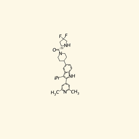 Cc1cc(-c2[nH]c3ccc(C4CCN(C(=O)[C@@H]5CC(F)(F)CN5)CC4)cc3c2C(C)C)cc(C)n1